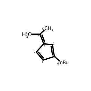 CCCCC1=CC(=C(C)C)C=C1